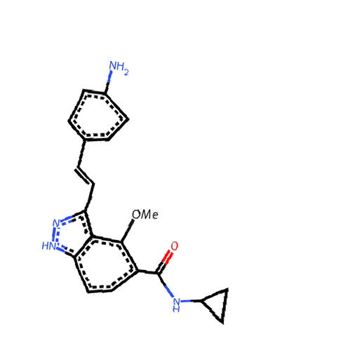 COc1c(C(=O)NC2CC2)ccc2[nH]nc(/C=C/c3ccc(N)cc3)c12